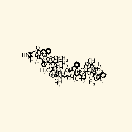 CCC(C)C(C(CC(=O)N1CCCC1C(OC)C(C)C(=O)NC(Cc1ccccc1)C(=O)NCc1c[nH]nn1)OC)N(C)C(=O)C(NC(=O)C(C)(C)NCCC(C)(C)OC(=O)C(Cc1ccccc1)NC(=O)C(C)C(OC)C1CCCN1C(=O)CC(OC)C(C(C)CC)N(C)C(=O)C(NC(=O)C1(C)CCCN1)C(C)C)C(C)C